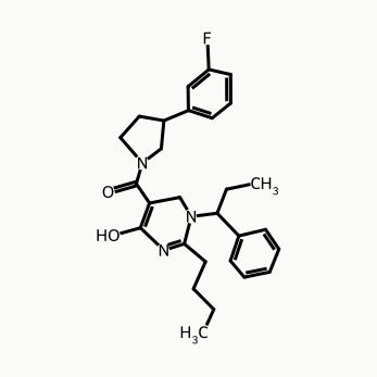 CCCCC1=NC(O)=C(C(=O)N2CCC(c3cccc(F)c3)C2)CN1C(CC)c1ccccc1